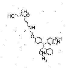 CCC(=C(c1ccc(OCCNCC=CC(=O)N(C)CCO)cc1)c1ccc2[nH]ncc2c1)c1ccccc1C